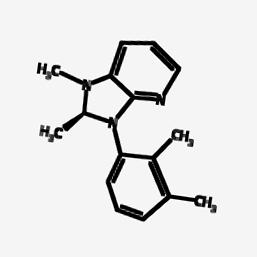 Cc1cccc(N2c3ncccc3N(C)[C@@H]2C)c1C